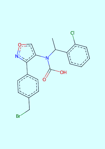 CC(c1ccccc1Cl)N(C(=O)O)c1conc1-c1ccc(CBr)cc1